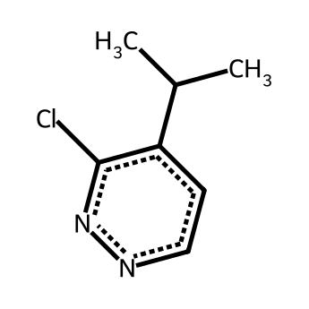 CC(C)c1ccnnc1Cl